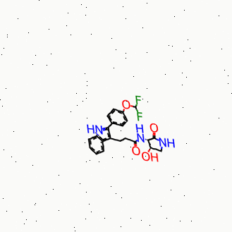 O=C(CCc1c(-c2ccc(OC(F)F)cc2)[nH]c2ccccc12)N[C@@H]1C(=O)NC[C@H]1O